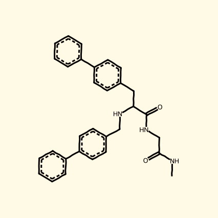 CNC(=O)CNC(=O)C(Cc1ccc(-c2ccccc2)cc1)NCc1ccc(-c2ccccc2)cc1